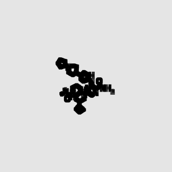 CN(C)C(=O)N1CCC[C@@H]2[C@H]1CC(C1CCC1)CN2c1cnc(C(N)=O)c(Nc2ccc(C3CCN(C4CCCC4)CC3)cc2)n1